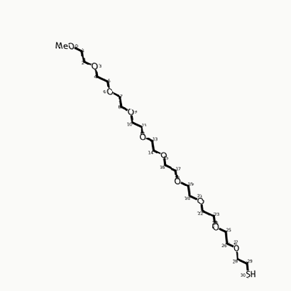 COCCOCCOCCOCCOCCOCCOCCOCCOCCOCCS